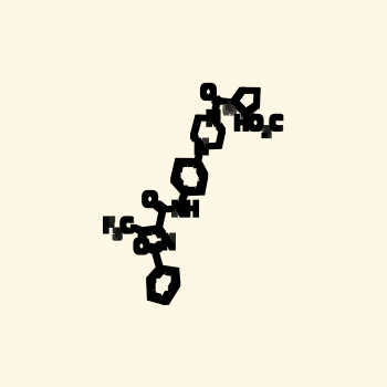 O=C(Nc1ccc(N2CCN(C(=O)[C@H]3CCC[C@@H]3C(=O)O)CC2)cc1)c1nc(-c2ccccc2)oc1C(F)(F)F